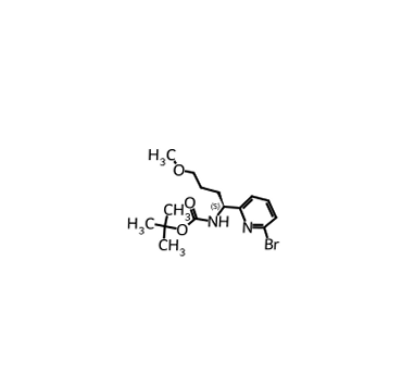 COCCC[C@H](NC(=O)OC(C)(C)C)c1cccc(Br)n1